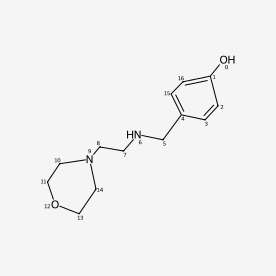 Oc1ccc(CNCCN2CCOCC2)cc1